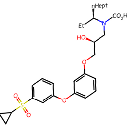 CCCCCCC[C@H](CC)N(C[C@H](O)COc1cccc(Oc2cccc(S(=O)(=O)C3CC3)c2)c1)C(=O)O